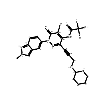 Cn1cc2cc(-n3nc(C#CCOC4CCCCO4)c(NC(=O)C(F)(F)F)c(Cl)c3=O)ccc2n1